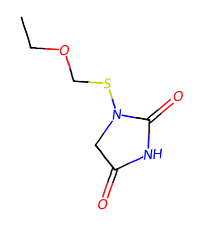 CCOCSN1CC(=O)NC1=O